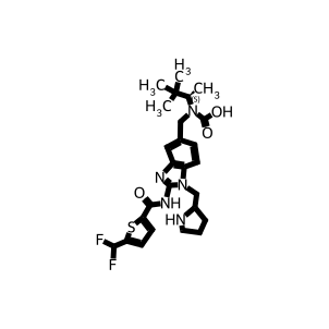 C[C@H](N(Cc1ccc2c(c1)nc(NC(=O)c1ccc(C(F)F)s1)n2CC1CCCN1)C(=O)O)C(C)(C)C